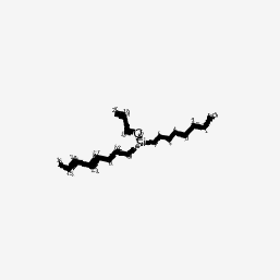 CCCCCCCC[Si](CCCCCCCC)OCCC